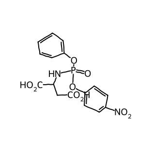 O=C(O)CC(NP(=O)(Oc1ccccc1)Oc1ccc([N+](=O)[O-])cc1)C(=O)O